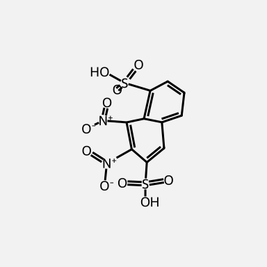 O=[N+]([O-])c1c(S(=O)(=O)O)cc2cccc(S(=O)(=O)O)c2c1[N+](=O)[O-]